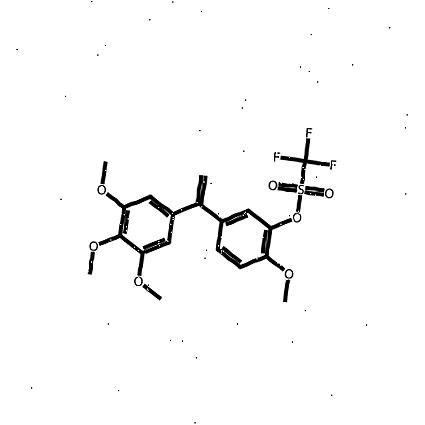 C=C(c1ccc(OC)c(OS(=O)(=O)C(F)(F)F)c1)c1cc(OC)c(OC)c(OC)c1